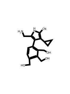 N#Cc1[nH]c(CN)c(-c2ccc(CO)c(CO)c2CO)c1C1CC1